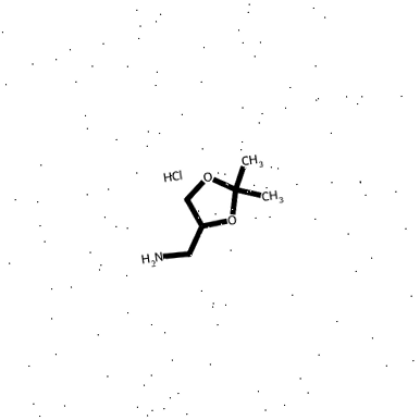 CC1(C)OCC(CN)O1.Cl